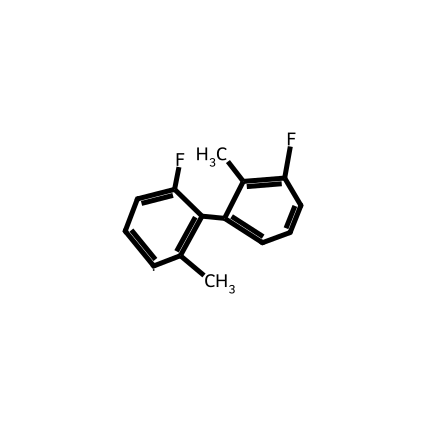 Cc1[c]ccc(F)c1-c1cccc(F)c1C